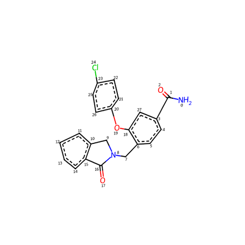 NC(=O)c1ccc(CN2Cc3ccccc3C2=O)c(Oc2ccc(Cl)cc2)c1